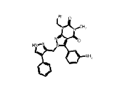 CC(C)Cn1c(=O)n(C)c(=O)c2c(-c3cccc(N)c3)n(Cc3n[nH]cc3-c3ccccc3)nc21